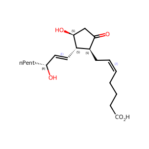 CCCCC[C@@H](O)/C=C/[C@H]1[C@H](C/C=C\CCCC(=O)O)C(=O)C[C@@H]1O